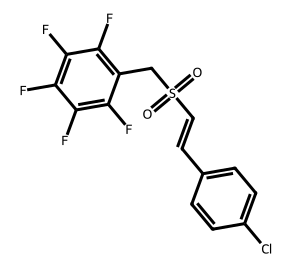 O=S(=O)(C=Cc1ccc(Cl)cc1)Cc1c(F)c(F)c(F)c(F)c1F